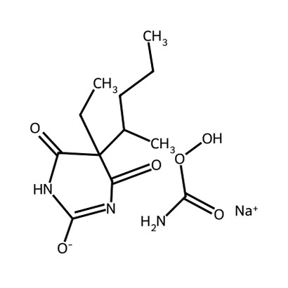 CCCC(C)C1(CC)C(=O)N=C([O-])NC1=O.NC(=O)OO.[Na+]